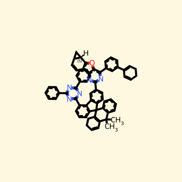 CC1(C)C2=C(CCC=C2)C2(c3ccc(-c4nc(-c5cccc(C6=CCCC=C6)c5)c5oc6c(c5n4)C=CC4C[C@H]64)cc3-c3c(-c4nc(-c5ccccc5)nc(-c5ccccc5)n4)cccc32)c2ccccc21